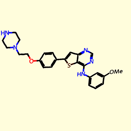 COc1cccc(Nc2ncnc3cc(-c4ccc(OCCN5CCNCC5)cc4)sc23)c1